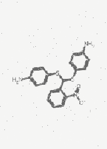 Nc1ccc(SC(Sc2ccc(N)cc2)c2ccccc2[N+](=O)[O-])cc1